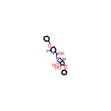 OC(CN1C[C@H]2C[C@H](Oc3ccccc3)[C@H](O)[C@@]2(O)C1)c1ccc(OCc2ccccc2)c(F)n1